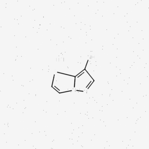 Cl.Nc1cnn2ccsc12